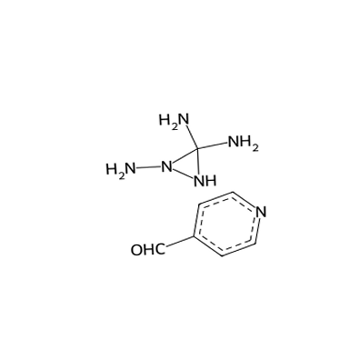 NN1NC1(N)N.O=Cc1ccncc1